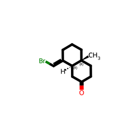 C[C@]12CCCC(=CBr)[C@@H]1CC(=O)CC2